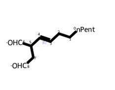 CCCCCCC/C=C/C([C]=O)C[C]=O